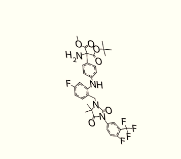 COC(=O)C(N)(C(=O)OC(C)(C)C)c1ccc(Nc2cc(F)ccc2CN2C(=O)N(c3ccc(F)c(C(F)(F)F)c3)C(=O)C2(C)C)cc1